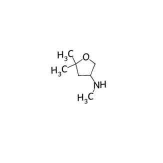 CNC1COC(C)(C)C1